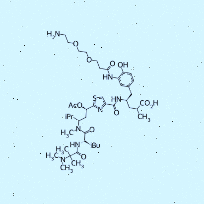 CC[C@H](C)[C@H](NC(=O)C(C)(C)N(C)C)C(=O)N(C)C(C[C@@H](OC(C)=O)c1nc(C(=O)N[C@@H](Cc2ccc(O)c(NC(=O)CCOCCOCCN)c2)CC(C)C(=O)O)cs1)C(C)C